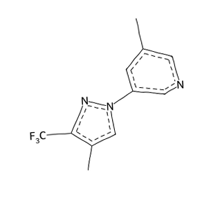 Cc1cncc(-n2cc(C)c(C(F)(F)F)n2)c1